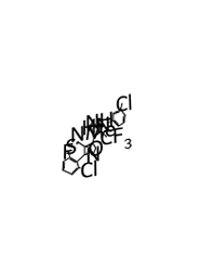 CNC(=S)c1c(-c2c(F)cccc2Cl)noc1/C(C=N)=C(/Nc1cccc(Cl)c1)C(F)(F)F